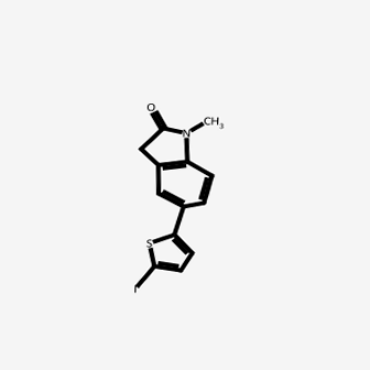 CN1C(=O)Cc2cc(-c3ccc(I)s3)ccc21